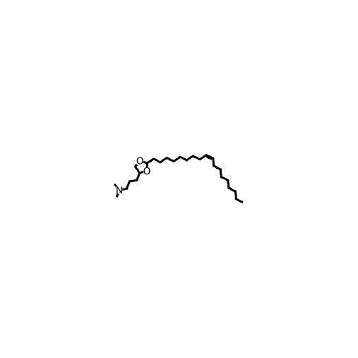 CCCCCCCC/C=C\CCCCCCCCC1OCC(CCCN(C)C)O1